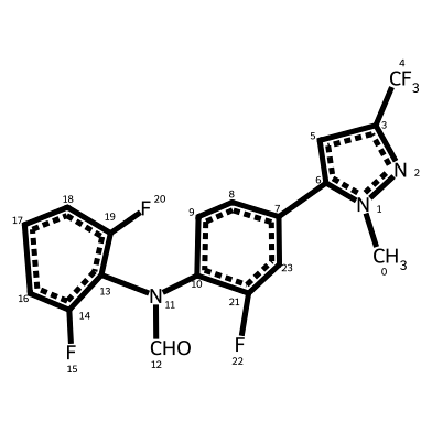 Cn1nc(C(F)(F)F)cc1-c1ccc(N(C=O)c2c(F)cccc2F)c(F)c1